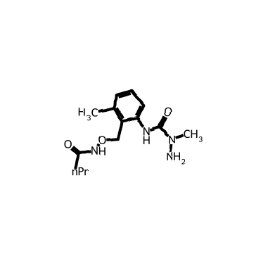 CCCC(=O)NOCc1c(C)cccc1NC(=O)N(C)N